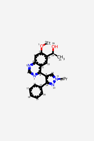 CCOc1cc2ncnc(-c3cn(C(C)C)nc3-c3ccccc3)c2cc1[C@H](C)O